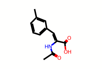 CC(=O)N/C(=C\c1cccc(C)c1)C(=O)O